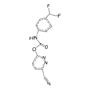 N#Cc1ccc(OC(=O)Nc2ccc(C(F)F)cc2)nn1